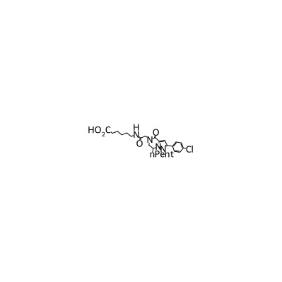 CCCCCC1CN(CC(=O)NCCCCCC(=O)O)C(=O)c2cc(-c3ccc(Cl)cc3)nn21